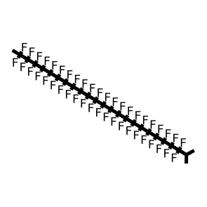 CC(C)C(F)(F)C(F)(F)C(F)(F)C(F)(F)C(F)(F)C(F)(F)C(F)(F)C(F)(F)C(F)(F)C(F)(F)C(F)(F)C(F)(F)C(F)(F)C(F)(F)C(F)(F)C(F)(F)C(F)(F)C(F)(F)C(F)(F)C(F)(F)C(F)(F)C(C)(F)F